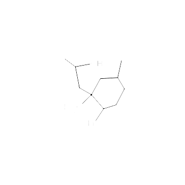 CC(O)CC1(C(=O)O)CC(C)CCC1C(C)C